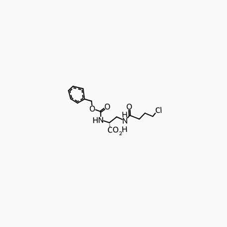 O=C(CCCCl)NC[C@@H](NC(=O)OCc1ccccc1)C(=O)O